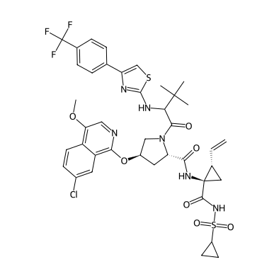 C=C[C@@H]1C[C@]1(NC(=O)[C@@H]1C[C@@H](Oc2ncc(OC)c3ccc(Cl)cc23)CN1C(=O)C(Nc1nc(-c2ccc(C(F)(F)F)cc2)cs1)C(C)(C)C)C(=O)NS(=O)(=O)C1CC1